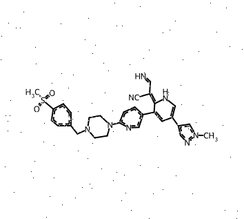 Cn1cc(C2=CN/C(=C(/C#N)C=N)C(c3ccc(N4CCN(Cc5ccc(S(C)(=O)=O)cc5)CC4)nc3)=C2)cn1